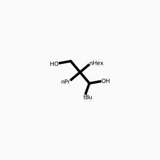 CCCCCCC(CO)(CCC)C(O)C(C)(C)C